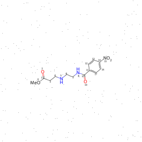 COC(=O)CCNCCNC(=O)c1ccc([N+](=O)[O-])cc1